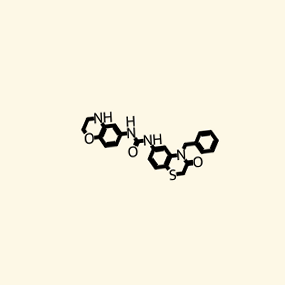 O=C(Nc1ccc2c(c1)NCCO2)Nc1ccc2c(c1)N(Cc1ccccc1)C(=O)CS2